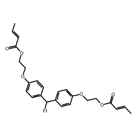 CC=CC(=O)OCCOc1ccc(C(CC)c2ccc(OCCOC(=O)C=CC)cc2)cc1